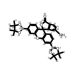 CC1(C)OB(c2ccc3c(c2)Oc2cc(B4OC(C)(C)C(C)(C)O4)ccc2C32OC(=O)c3ccc(N)cc32)OC1(C)C